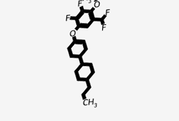 CCCC1CCC(C2CC=C(Oc3cc(C(F)F)c(OC)c(F)c3F)CC2)CC1